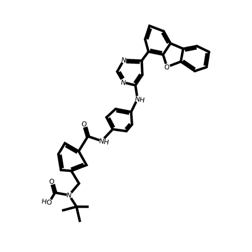 CC(C)(C)N(Cc1cccc(C(=O)Nc2ccc(Nc3cc(-c4cccc5c4oc4ccccc45)ncn3)cc2)c1)C(=O)O